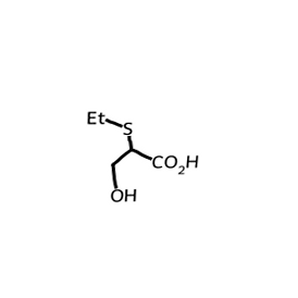 CCSC(CO)C(=O)O